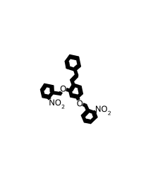 O=[N+]([O-])c1ccccc1COc1ccc(C=Cc2ccccc2)c(OCc2ccccc2[N+](=O)[O-])c1